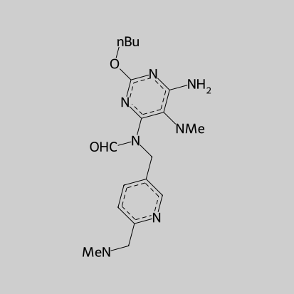 CCCCOc1nc(N)c(NC)c(N(C=O)Cc2ccc(CNC)nc2)n1